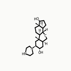 C[C@]12C[C@H](N3CCNCC3)[C@@H](O)C[C@@H]1CC[C@@H]1[C@@H]2CC[C@]2(C)[C@@H](O)CC[C@@H]12